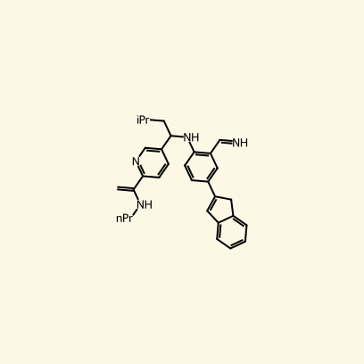 C=C(NCCC)c1ccc(C(CC(C)C)Nc2ccc(C3=Cc4ccccc4C3)cc2C=N)cn1